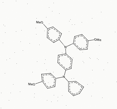 COc1ccc(N(c2ccccc2)c2ccc(N(c3ccc(OC)cc3)c3ccc(OC)cc3)cc2)cc1